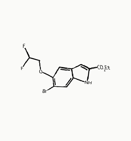 CCOC(=O)c1cc2cc(OCC(F)F)c(Br)cc2[nH]1